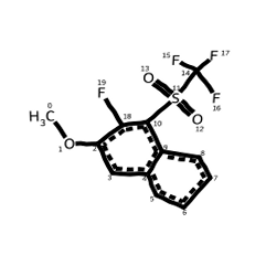 COc1cc2ccccc2c(S(=O)(=O)C(F)(F)F)c1F